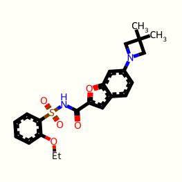 CCOc1ccccc1S(=O)(=O)NC(=O)c1cc2ccc(N3CC(C)(C)C3)cc2o1